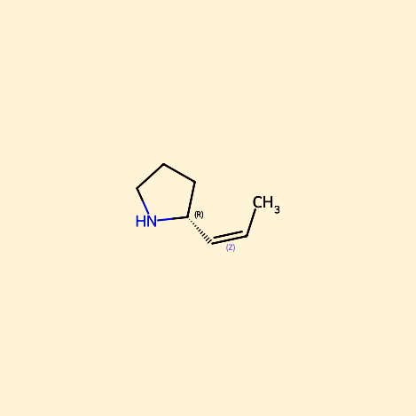 C/C=C\[C@H]1CCCN1